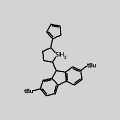 CC(C)(C)c1ccc2c(c1)C(C1CCC(C3=CC=CC3)[SiH2]1)c1cc(C(C)(C)C)ccc1-2